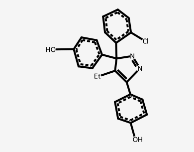 CCC1=C(c2ccc(O)cc2)N=NC1(c1ccc(O)cc1)c1ccccc1Cl